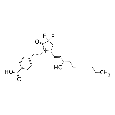 CCCC#CCCC(O)C=CC1CC(F)(F)C(=O)N1CCc1ccc(C(=O)O)cc1